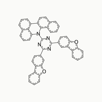 c1ccc2c3c(ccc2c1)-c1cccc2cccc(c12)N3c1nc(-c2ccc3c(c2)oc2ccccc23)nc(-c2ccc3oc4ccccc4c3c2)n1